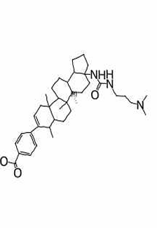 CC1C(c2ccc(C(=O)O)cc2)=CCC2(C)C1CCC1(C)C2CCC2C3CCCC3(NC(=O)NCCCN(C)C)CC[C@]21C